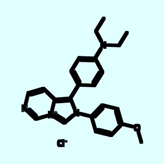 CCN(CC)c1ccc(-c2c3ccnc[n+]3cn2-c2ccc(OC)cc2)cc1.[Cl-]